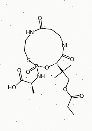 CCC(=O)OCC(C)(C)[C@H]1OP(=O)(N[C@@H](C)C(=O)O)SCCNC(=O)CCNC1=O